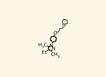 CCc1c(C)nn(-c2ccc(OCCCN3CCCC3)cc2)c1C